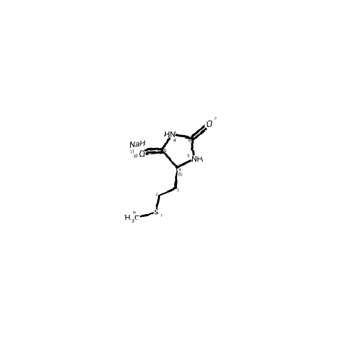 CSCC[C@@H]1NC(=O)NC1=O.[NaH]